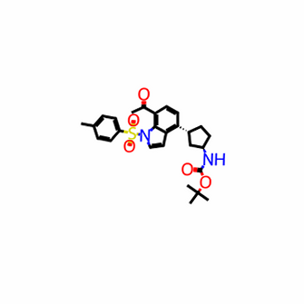 CC(=O)c1ccc([C@@H]2CC[C@@H](NC(=O)OC(C)(C)C)C2)c2ccn(S(=O)(=O)c3ccc(C)cc3)c12